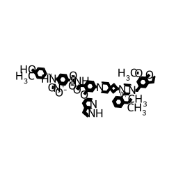 COc1cc(CN2CCN(C3CC4(CCN(c5ccc(C(=O)NS(=O)(=O)c6ccc(NC[C@H]7CC[C@](C)(O)CC7)c([N+](=O)[O-])c6)c(Oc6cnc7[nH]ccc7c6)c5)CC4)C3)[C@H](c3ccccc3C(C)C)C2)cc2c1OCC2